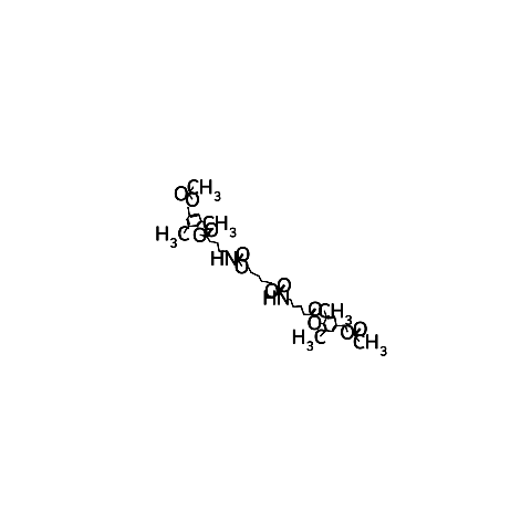 CC(=O)OCc1cc(C)c(OC(=O)CCCCNC(=O)OCCCCCOC(=O)NCCCCC(=O)Oc2c(C)cc(COC(C)=O)cc2C)c(C)c1